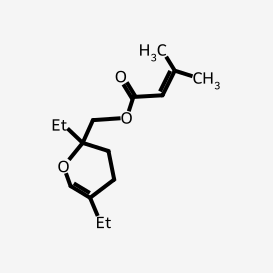 CCC1=COC(CC)(COC(=O)C=C(C)C)CC1